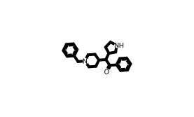 O=C(c1ccccc1)C(C1CCN(Cc2ccccc2)CC1)C1CCNC1